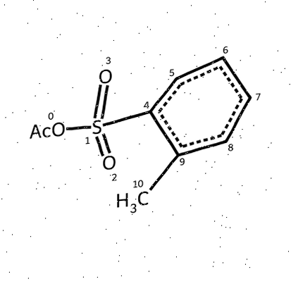 CC(=O)OS(=O)(=O)c1ccccc1C